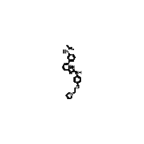 CC(=O)Nc1cccc(-c2cccc3nc(Nc4ccc(OCCN5CCCC5)cc4)nn23)c1